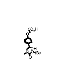 CN(CC(O)c1ccc(OCC(=O)O)cc1)C(=O)OC(C)(C)C